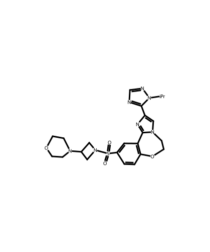 CC(C)n1ncnc1-c1cn2c(n1)-c1cc(S(=O)(=O)N3CC(N4CCOCC4)C3)ccc1OCC2